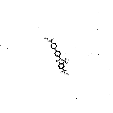 CC(C)(C)OC(=O)N1CCN(C2CCC(CNc3ccc(S(N)(=O)=O)cc3S(=O)(=O)C(F)(F)F)CC2)CC1